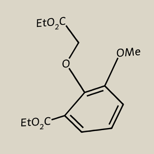 CCOC(=O)COc1c(OC)cccc1C(=O)OCC